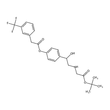 CC(C)(C)OC(=O)CNCC(O)c1ccc(OC(=O)Cc2cccc(C(F)(F)F)c2)cc1